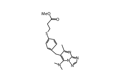 COC(=O)CCSc1ccc(Cc2c(C)nc3ncnn3c2N(C)C)cc1